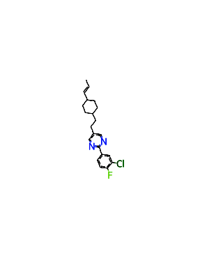 C/C=C/C1CCC(CCc2cnc(-c3ccc(F)c(Cl)c3)nc2)CC1